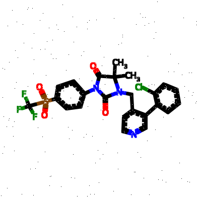 CC1(C)C(=O)N(c2ccc(S(=O)(=O)C(F)(F)F)cc2)C(=O)N1Cc1ccncc1-c1ccccc1Cl